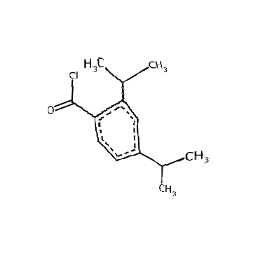 CC(C)c1ccc(C(=O)Cl)c(C(C)C)c1